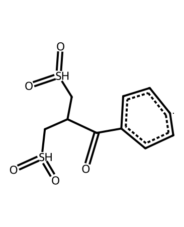 O=C(c1cc[c]cc1)C(C[SH](=O)=O)C[SH](=O)=O